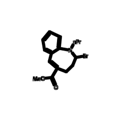 CCCN1c2ccccc2C=C(C(=O)OC)CCC1Br